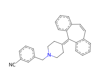 N#Cc1cccc(CN2CCC(=C3c4ccccc4C=Cc4ccccc43)CC2)c1